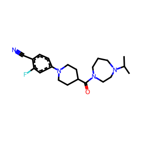 CC(C)N1CCCN(C(=O)C2CCN(c3ccc(C#N)c(F)c3)CC2)CC1